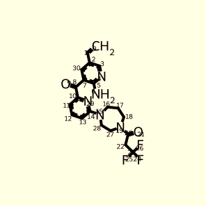 C=Cc1cnc(N)c(C(=O)c2cccc(N3CCCN(C(=O)CC(F)(F)F)CC3)n2)c1